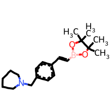 CC1(C)OB(/C=C/c2ccc(CN3CCCCC3)cc2)OC1(C)C